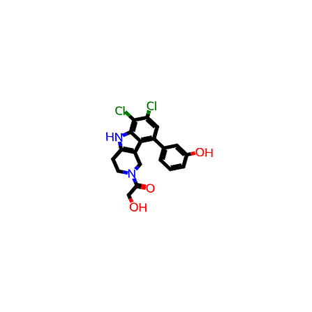 O=C(CO)N1CCc2[nH]c3c(Cl)c(Cl)cc(-c4cccc(O)c4)c3c2C1